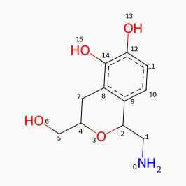 NCC1OC(CO)Cc2c1ccc(O)c2O